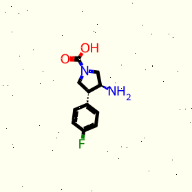 N[C@@H]1CN(C(=O)O)C[C@H]1c1ccc(F)cc1